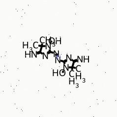 CC1(C)C(=N)N=C(/N=N/C2=NC(=N)C(C)(C)N2O)N1O